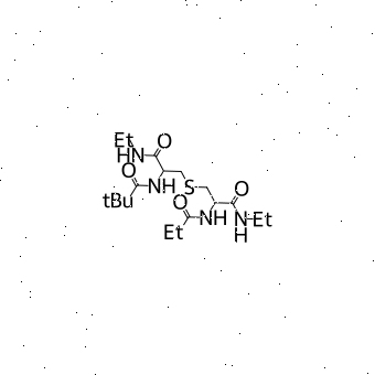 CCNC(=O)C(CSCC(NC(=O)C(C)(C)C)C(=O)NCC)NC(=O)CC